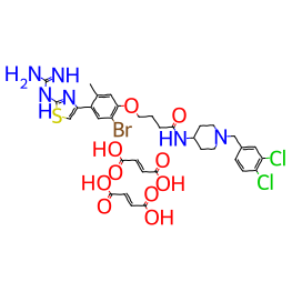 Cc1cc(OCCCC(=O)NC2CCN(Cc3ccc(Cl)c(Cl)c3)CC2)c(Br)cc1-c1csc(NC(=N)N)n1.O=C(O)/C=C/C(=O)O.O=C(O)/C=C/C(=O)O